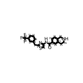 O=C(Nc1csc(Cc2cccc(C(F)(F)F)c2)n1)c1ccc2c(c1)CCNC2